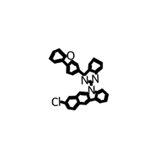 Clc1ccc2cc3c4ccccc4n(-c4nc(-c5ccc6c(c5)oc5ccccc56)c5ccccc5n4)c3cc2c1